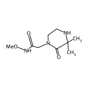 CONC(=O)CN1CCNC(C)(C)C1=O